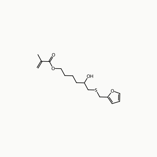 C=C(C)C(=O)OCCCCC(O)CSCc1ccco1